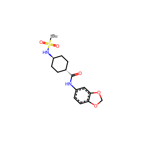 CC(C)(C)S(=O)(=O)N[C@H]1CC[C@H](C(=O)Nc2ccc3c(c2)OCO3)CC1